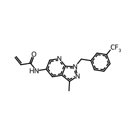 C=CC(=O)Nc1cnc2c(c1)c(C)nn2Cc1cccc(C(F)(F)F)c1